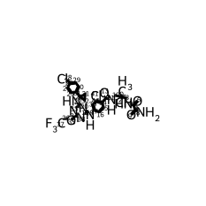 CC(C)(CNC(=O)C(N)=O)CNC(=O)c1ccc(Nc2nc(NC3(c4ccc(Cl)cc4)CC3)nc(OCC(F)(F)F)n2)cc1Cl